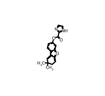 CC1(C)C=c2c(oc3cc(OC(=O)c4ncc[nH]4)ccc23)=CC1